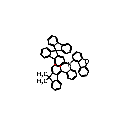 CC1(C)c2ccccc2-c2c(-c3ccccc3N(c3ccc4c(c3)C3(c5ccccc5-c5ccccc53)c3ccccc3-4)c3cccc4oc5ccccc5c34)cccc21